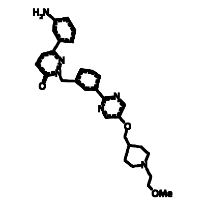 COCCN1CCC(COc2cnc(-c3cccc(Cn4nc(-c5cccc(N)c5)ccc4=O)c3)nc2)CC1